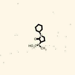 CN(C(=O)O)C1CCN(C2CCCCC2)C1=O